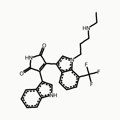 CCNCCCn1cc(C2=C(c3c[nH]c4ccccc34)C(=O)NC2=O)c2cccc(C(F)(F)F)c21